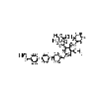 Cc1nc(CC2CCN(c3ccc(-c4ccc(CO)cc4)cc3)CC2)nc(C(=O)OC(C)(C)C)c1OCC1=CC=CCC1